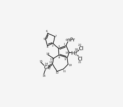 CCCC1=C(C2=CC=CC2)C2=C(CCC[C](=[Ge]([CH3])[CH3])C2C)[CH]1[Hf]([Cl])[Cl]